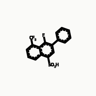 O=S(=O)(O)c1cc(-c2ccccc2)c(F)c2c(C(F)(F)F)cccc12